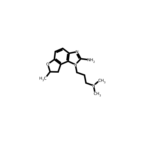 CC1Cc2c(ccc3nc(N)n(CCCN(C)C)c23)O1